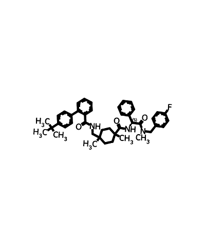 CN(Cc1ccc(F)cc1)C(=O)[C@@H](NC(=O)C1(C)CCC(C)(CNC(=O)c2ccccc2-c2ccc(C(C)(C)C)cc2)CC1)c1ccccc1